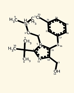 C[SiH](C)OCn1c(C(C)(C)C)nc(CO)c1Sc1cccc(Cl)c1